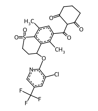 Cc1cc(C(=O)C2C(=O)CCCC2=O)c(C)c2c1S(=O)(=O)CCC2Oc1ncc(C(F)(F)F)cc1Cl